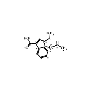 CCn1cc(C(=O)O)c2ccccc21.CNC